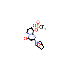 O=c1cc(N2CC3CCC(C2)O3)nc2c(OS(=O)(=O)C(F)(F)F)cccn12